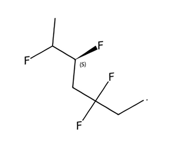 [CH2]CC(F)(F)C[C@H](F)C(C)F